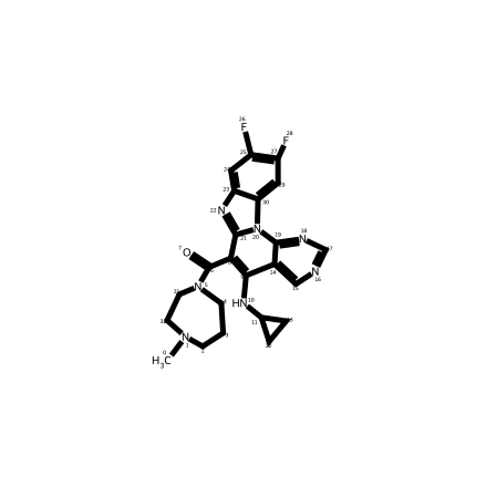 CN1CCCN(C(=O)c2c(NC3CC3)c3cncnc3n3c2nc2cc(F)c(F)cc23)CC1